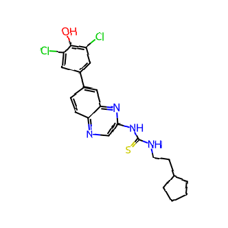 Oc1c(Cl)cc(-c2ccc3ncc(NC(=S)NCCC4CCCC4)nc3c2)cc1Cl